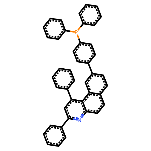 c1ccc(-c2cc(-c3ccccc3)c3c(ccc4ccc(-c5ccc(P(c6ccccc6)c6ccccc6)cc5)cc43)n2)cc1